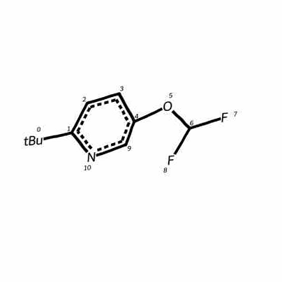 CC(C)(C)c1ccc(OC(F)F)cn1